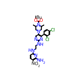 CC1CN(c2cnc(NCCNc3ccc([N+](=O)[O-])c(N)n3)nc2-c2ccc(Cl)cc2Cl)CC(C)N1C(=O)OC(C)(C)C